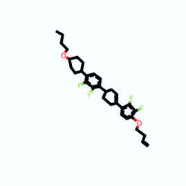 C=CCCOc1ccc(C2=CCC(c3ccc(C4CCC(OCCCC)CC4)c(F)c3F)CC2)c(F)c1F